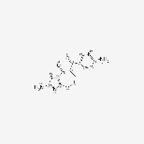 Nc1ccc(C(=O)C2CCCc3nc(N)sc3C2=O)cn1